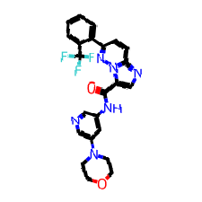 O=C(Nc1cncc(N2CCOCC2)c1)c1cnc2ccc(-c3ccccc3C(F)(F)F)nn12